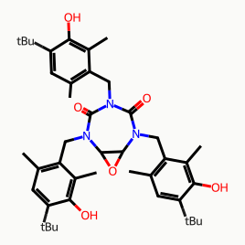 Cc1cc(C(C)(C)C)c(O)c(C)c1CN1C(=O)N(Cc2c(C)cc(C(C)(C)C)c(O)c2C)C2OC2N(Cc2c(C)cc(C(C)(C)C)c(O)c2C)C1=O